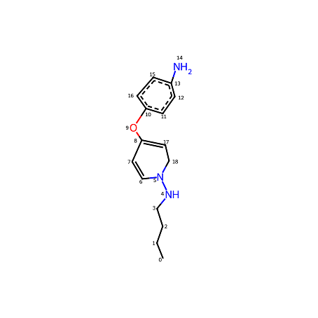 CCCCNN1C=CC(Oc2ccc(N)cc2)=CC1